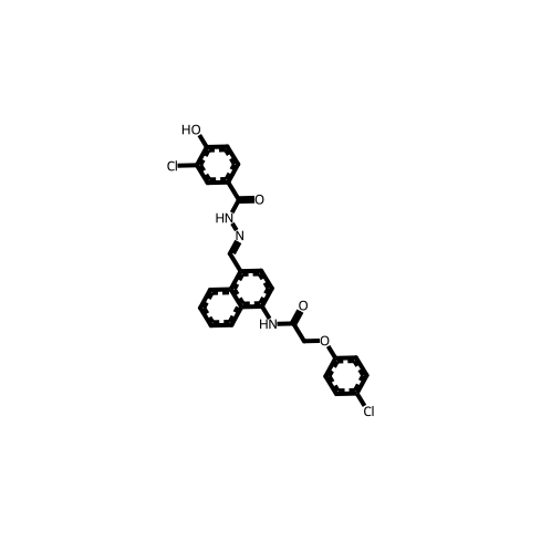 O=C(COc1ccc(Cl)cc1)Nc1ccc(/C=N/NC(=O)c2ccc(O)c(Cl)c2)c2ccccc12